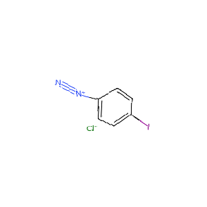 N#[N+]c1ccc(I)cc1.[Cl-]